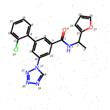 CC(NC(=O)c1cc(-c2ccccc2Cl)cc(-n2cnnn2)c1)c1ccco1